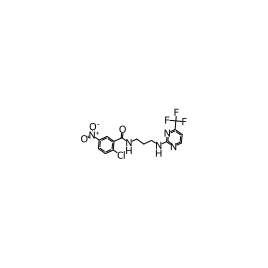 O=C(NCCCNc1nccc(C(F)(F)F)n1)c1cc([N+](=O)[O-])ccc1Cl